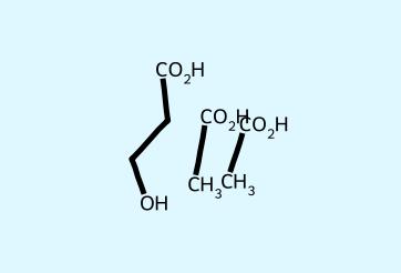 CC(=O)O.CC(=O)O.O=C(O)CCO